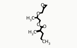 C=C(CCC)C(=O)OCC(C)OCC1CO1